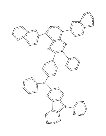 c1ccc(-c2nc3c(-c4ccc5ccccc5c4)ccc(-c4ccc5ccccc5c4)c3nc2-c2ccc(N(c3ccccc3)c3ccc4c(c3)c3ccccc3n4-c3ccccc3)cc2)cc1